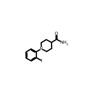 NC(=O)C1CCN(c2ccccc2I)CC1